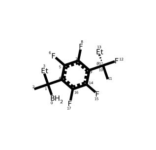 BC(C)(CC)c1c(F)c(F)c([C@](C)(F)CC)c(F)c1F